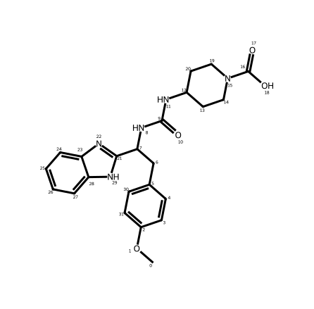 COc1ccc(CC(NC(=O)NC2CCN(C(=O)O)CC2)c2nc3ccccc3[nH]2)cc1